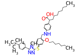 CCCCCCCCC(C(=O)O)c1ccc(NCc2ccc(Sc3nnc(-c4ccc(C(C)(C)C)cc4)n3C)cc2OCCCCCCC)cc1